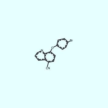 N#Cc1ccc(Oc2ccc(Br)cc2)c2ncccc12